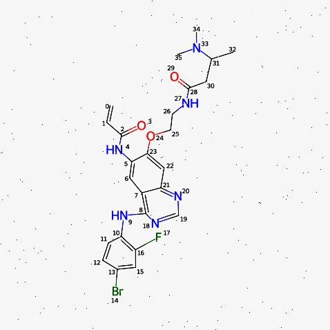 C=CC(=O)Nc1cc2c(Nc3ccc(Br)cc3F)ncnc2cc1OCCNC(=O)CC(C)N(C)C